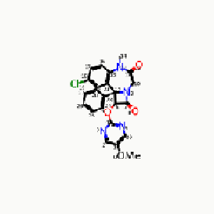 COc1cnc(OC2C(=O)N3CC(=O)N(C)c4ccc(Cl)cc4C23c2ccccc2)nc1